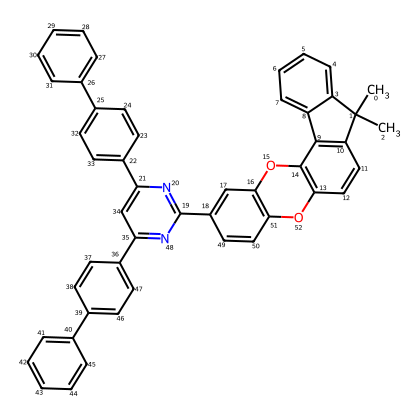 CC1(C)c2ccccc2-c2c1ccc1c2Oc2cc(-c3nc(-c4ccc(-c5ccccc5)cc4)cc(-c4ccc(-c5ccccc5)cc4)n3)ccc2O1